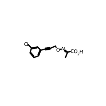 CC(=NOCC#Cc1cccc(Cl)c1)C(=O)O